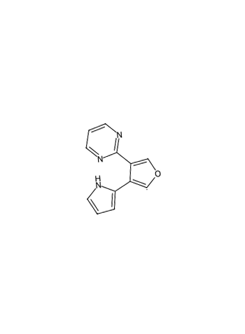 [c]1occ(-c2ncccn2)c1-c1ccc[nH]1